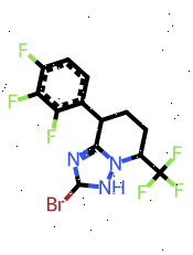 Fc1ccc(C2CCC(C(F)(F)F)N3NC(Br)N=C23)c(F)c1F